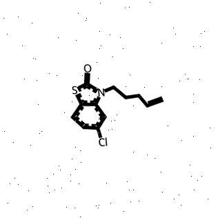 C=CCCCn1c(=O)sc2ccc(Cl)cc21